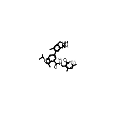 Cc1cc(C)c(CNC(=O)c2cc(-c3cc4c(cc3C)CNN4)cc3c2c(C)cn3C(C)C)c(=O)[nH]1